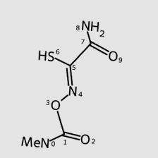 CNC(=O)ON=C(S)C(N)=O